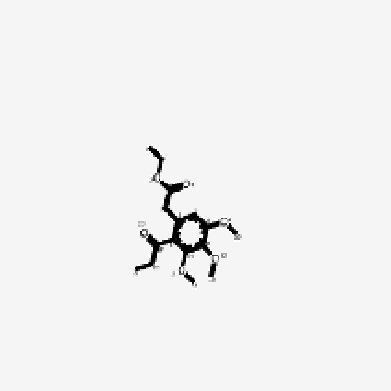 CCOC(=O)Cc1cc(OC)c(OC)c(OC)c1C(=O)CC